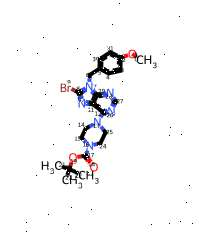 COc1ccc(Cn2c(Br)nc3c(N4CCN(C(=O)OC(C)(C)C)CC4)ncnc32)cc1